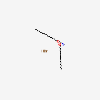 Br.CCCCCCCCC=CCCCCCCCCOCC(CN(C)C)OCCCCCCCCC=CCCCCCCCC